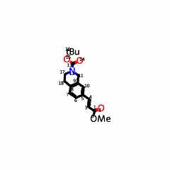 COC(=O)C=Cc1ccc2c(c1)CN(C(=O)OC(C)(C)C)CC2